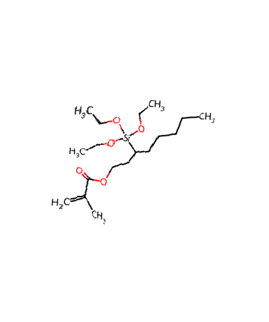 C=C(C)C(=O)OCCC(CCCCC)[Si](OCC)(OCC)OCC